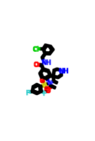 CC(=O)[N+]1(S(=O)(=O)c2ccc(F)cc2F)c2ccc(C(=O)NCc3ccccc3Cl)cc2C2(CCNCC2)C1C